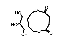 O=C1CCC(=O)OCCCCO1.OCC(O)CO